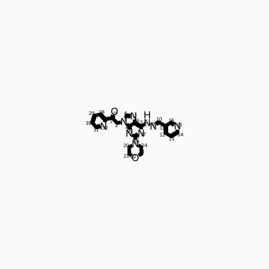 O=C(Cn1cnc2c(N/N=C/c3cccnc3)nc(N3CCOCC3)nc21)c1ccccn1